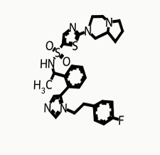 CC(NS(=O)(=O)c1cnc(N2CCN3CCCC3C2)s1)c1ccccc1-c1cncn1CCc1ccc(F)cc1